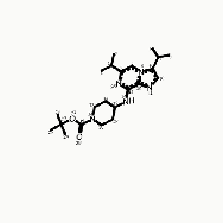 CC(C)c1cn2c(C(C)C)cnc2c(NC2CCN(C(=O)OC(C)(C)C)CC2)n1